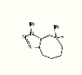 CC(C)N1N=NC2CCCCC(C)(C(C)C)CC21